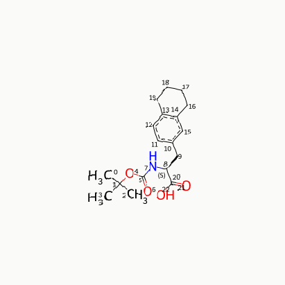 CC(C)(C)OC(=O)N[C@@H](Cc1ccc2c(c1)CCCC2)C(=O)O